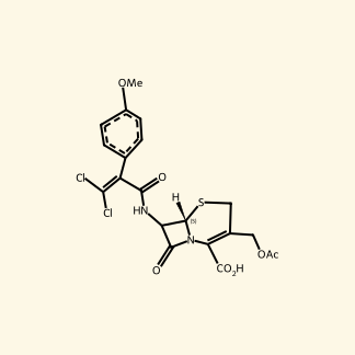 COc1ccc(C(C(=O)NC2C(=O)N3C(C(=O)O)=C(COC(C)=O)CS[C@@H]23)=C(Cl)Cl)cc1